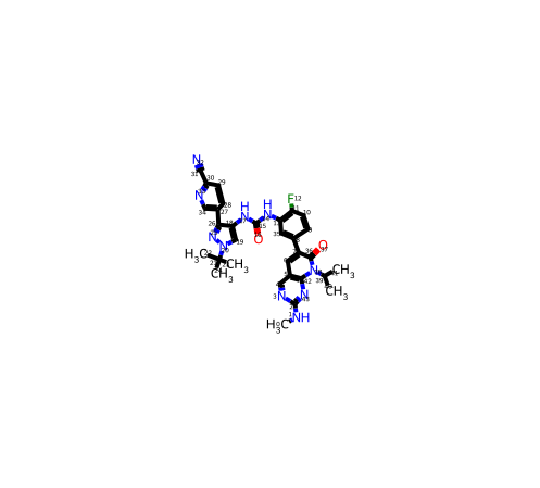 CNc1ncc2cc(-c3ccc(F)c(NC(=O)Nc4cn(C(C)(C)C)nc4-c4ccc(C#N)nc4)c3)c(=O)n(C(C)C)c2n1